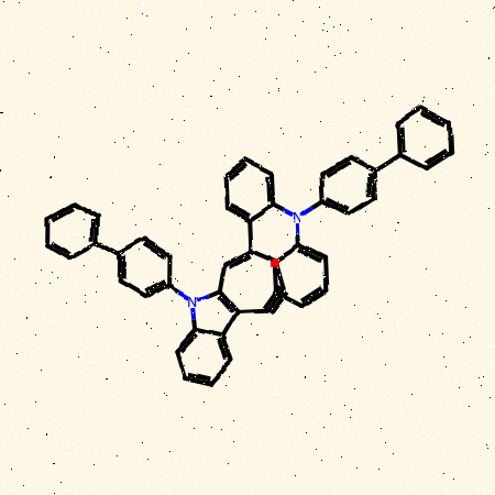 C1#Cc2c(n(-c3ccc(-c4ccccc4)cc3)c3ccccc23)C=C(c2ccccc2N(C2=CC=CCC2)c2ccc(-c3ccccc3)cc2)C1